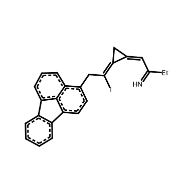 CCC(=N)/C=C1/C/C1=C(/I)Cc1ccc2c3c(cccc13)-c1ccccc1-2